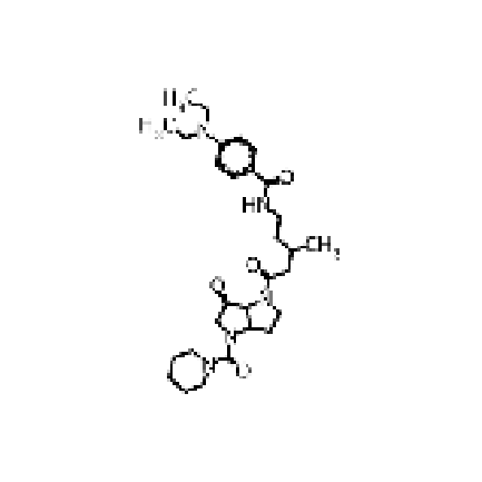 CCN(CC)c1ccc(C(=O)NCCC(C)CC(=O)N2CCC3C2C(=O)CN3C(=O)N2CCCCC2)cc1